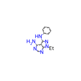 CCn1nc(Nc2ccccc2)c2c(N)ncnc21